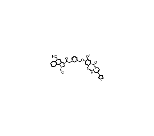 COc1cc2c(cc1OCc1cccc(CC(=O)N3C[C@@H](CCl)c4c3cc(O)c3ccccc43)c1)N=C[C@@H]1CC(c3ccsc3)=CCN1C2=O